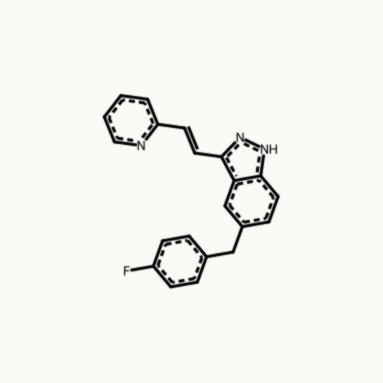 Fc1ccc(Cc2ccc3[nH]nc(/C=C/c4ccccn4)c3c2)cc1